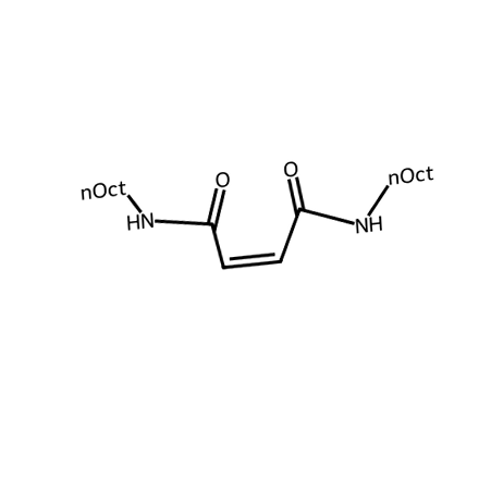 CCCCCCCCNC(=O)/C=C\C(=O)NCCCCCCCC